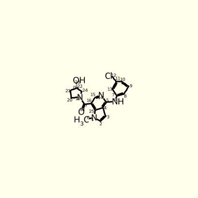 Cn1ccc2c(Nc3cccc(Cl)c3)ncc(C(=O)N3CC[C@H](O)C3)c21